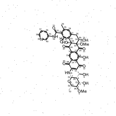 CO[C@@H]1[C@@H](O)[C@@H](CO)[C@@H](NC2=CC(=O)c3c(cc4c(c3O)C(=O)[C@]3(OC)[C@H](O)Cc5cc(C)c(C(=O)Nc6cccnc6)c(O)c5[C@]3(O)C4=O)C2=O)O[C@H]1C